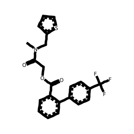 CN(Cc1cccs1)C(=O)COC(=O)c1ccccc1-c1ccc(C(F)(F)F)cc1